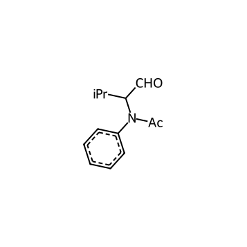 CC(=O)N(c1ccccc1)C(C=O)C(C)C